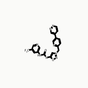 O=C([N-]c1c[n+](Cc2ccc(-c3ccnnc3)cn2)no1)Nc1cncc(C(F)(F)F)c1